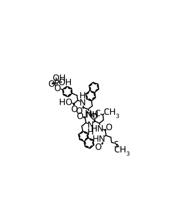 CSCCC(NC=O)C(=O)NC(CC(C)C)C(=O)NC(Cc1ccc2ccccc2c1)C(=O)NC(Cc1ccc2ccccc2c1)C(=O)NC(Cc1ccc(OP(=O)(O)O)cc1)C(=O)O